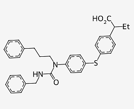 CCC(C(=O)O)c1ccc(Sc2ccc(N(CCCc3ccccc3)C(=O)NCc3ccccc3)cc2)cc1